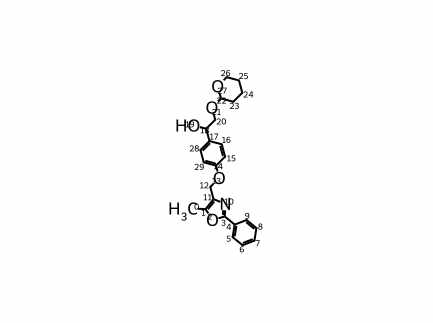 Cc1oc(-c2ccccc2)nc1COc1ccc(C(O)COC2CCCCO2)cc1